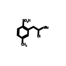 CCCCC(CC)Cc1cc(C)ccc1S(=O)(=O)O